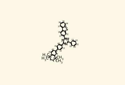 CC1(C)CCC(C)(C)c2cc(-c3ccc(-c4nc(-c5ccccc5)nc(-c5ccc6c(c5)sc5ccccc56)n4)cc3)ccc21